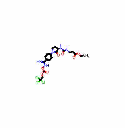 CCOC(=O)CCNC(=O)N[C@H]1CCN(c2ccc(C(=N)NOC(=O)OCC(Cl)(Cl)Cl)cc2)C1=O